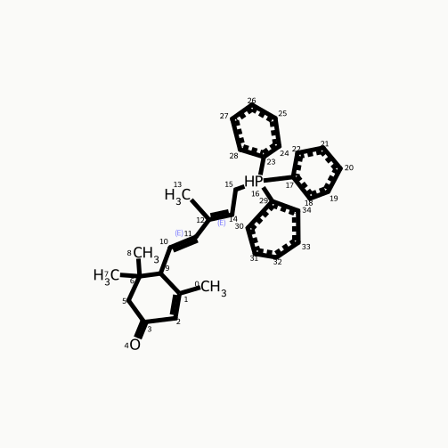 CC1=CC(=O)CC(C)(C)C1/C=C/C(C)=C/C[PH](c1ccccc1)(c1ccccc1)c1ccccc1